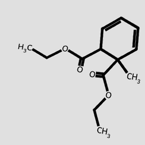 CCOC(=O)C1C=CC=CC1(C)C(=O)OCC